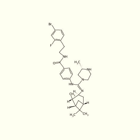 C[C@@H]1[C@@H](/N=C(\Nc2ccc(C(=O)NCCc3ccc(Br)cc3F)cc2)N2CCN[C@@H](C)C2)C[C@H]2C[C@@H]1C2(C)C